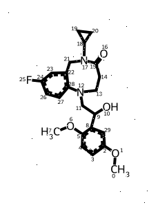 COc1ccc(OC)c(C(O)CN2CCC(=O)N(C3CC3)Cc3cc(F)ccc32)c1